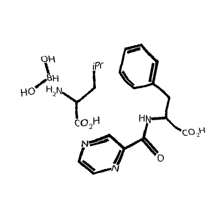 CC(C)CC(N)C(=O)O.O=C(NC(Cc1ccccc1)C(=O)O)c1cnccn1.OBO